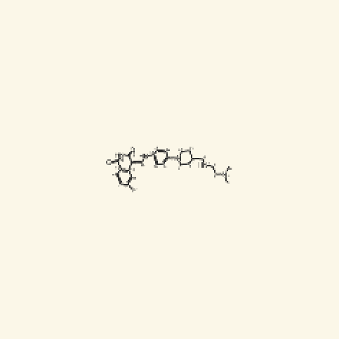 CN(C)CCNCC1CCN(c2ccc(NC=C3C(=O)NC(=O)c4ccc(I)cc43)cc2)CC1